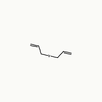 C=C[CH2][Ir][CH2]C=C